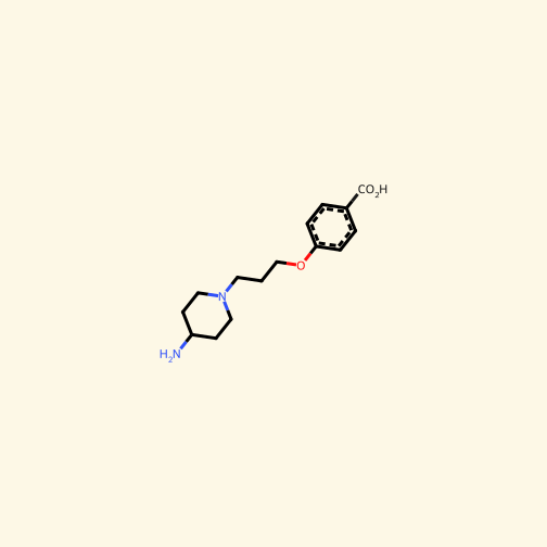 NC1CCN(CCCOc2ccc(C(=O)O)cc2)CC1